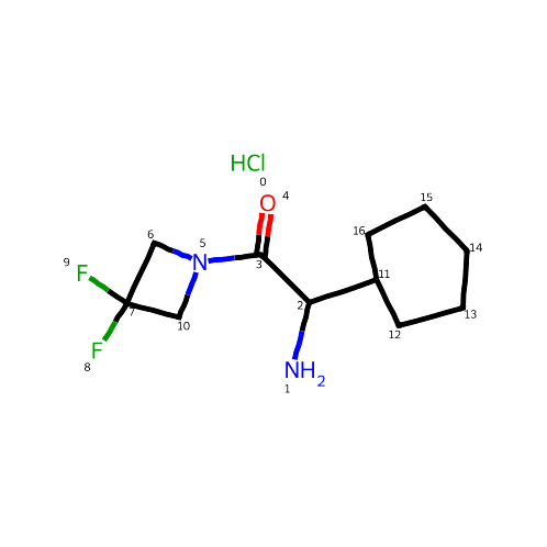 Cl.NC(C(=O)N1CC(F)(F)C1)C1CCCCC1